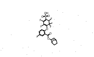 CC1(F)C(Oc2ccc(I)cc2C(=O)OC2CC3CCC2C3)=C(F)C(F)=C(S(=O)(=O)O)C1F